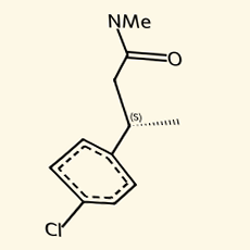 CNC(=O)C[C@H](C)c1ccc(Cl)cc1